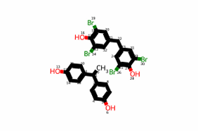 CC(c1ccc(O)cc1)c1ccc(O)cc1.Oc1c(Br)cc(Cc2cc(Br)c(O)c(Br)c2)cc1Br